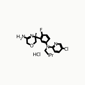 CC(C)CN(c1ccc(F)c([C@]2(C)COCC(N)=N2)c1)c1ccc(Cl)cn1.Cl